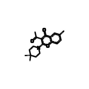 CC(=O)c1c(N2CCC(C)(C)CC2)oc2ccc(C)cc2c1=O